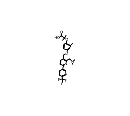 Cc1cc(OCc2ccc(-c3ccc(C(F)(F)F)cc3)nc2CN(C)C)ccc1OC(C)(C)C(=O)O